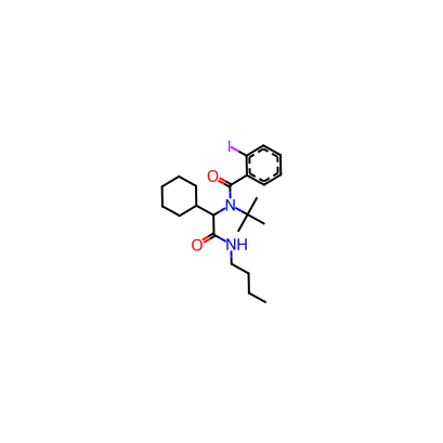 CCCCNC(=O)C(C1CCCCC1)N(C(=O)c1ccccc1I)C(C)(C)C